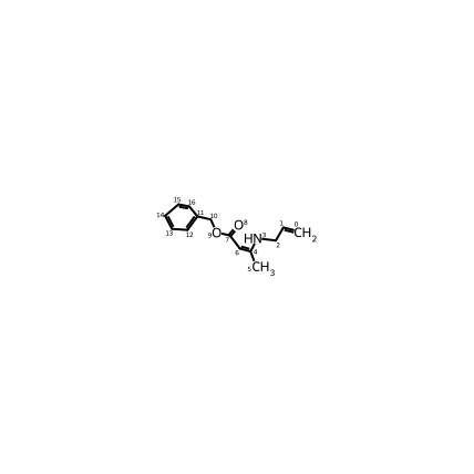 C=CCNC(C)=CC(=O)OCc1ccccc1